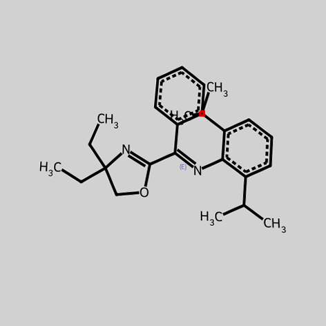 CCC1(CC)COC(/C(=N/c2c(C(C)C)cccc2C(C)C)c2ccccc2)=N1